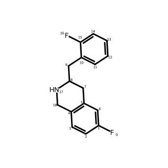 Fc1ccc2c(c1)CC(Cc1ccccc1F)NC2